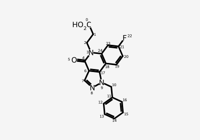 O=C(O)CCn1c(=O)c2cnn(Cc3ccccc3)c2c2ccc(F)cc21